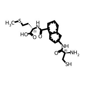 CSCC[C@H](NC(=O)c1cccc2cc(NC(=O)[C@@H](N)CS)ccc12)C(=O)O